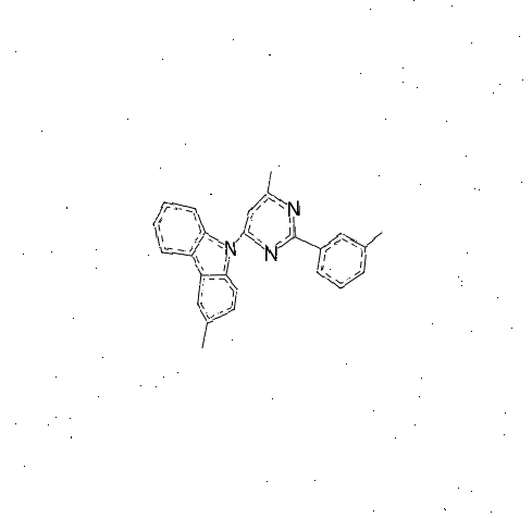 Cc1cccc(-c2nc(C)cc(-n3c4ccccc4c4cc(C)ccc43)n2)c1